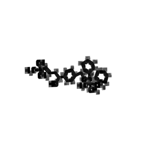 CC(C)(C)[Si](OCc1ccc(C(O)CC=C[Si](C)(C)C)cc1)(c1ccccc1)c1ccccc1